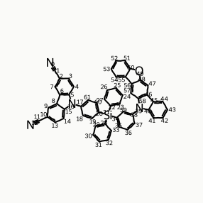 N#Cc1ccc2c(c1)c1cc(C#N)ccc1n2-c1ccc([Si](c2ccccc2)(c2ccccc2)c2cccc(-n3c4ccccc4c4cc5oc6ccccc6c5cc43)c2)cc1